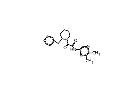 Cc1cc(NC(=O)C(=O)N2CCCCC2Cc2ccccc2)cnc1C